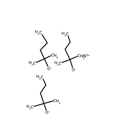 CCCC(C)(C)[O-].CCCC(C)(C)[O-].CCCC(C)(C)[O-].[Al+3]